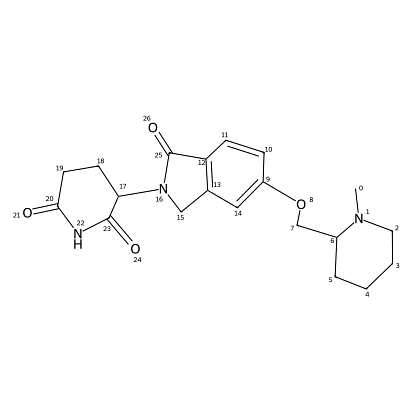 CN1CCCCC1COc1ccc2c(c1)CN(C1CCC(=O)NC1=O)C2=O